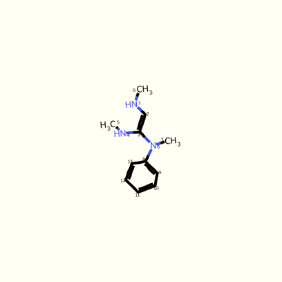 CN/C=C(\NC)N(C)c1ccccc1